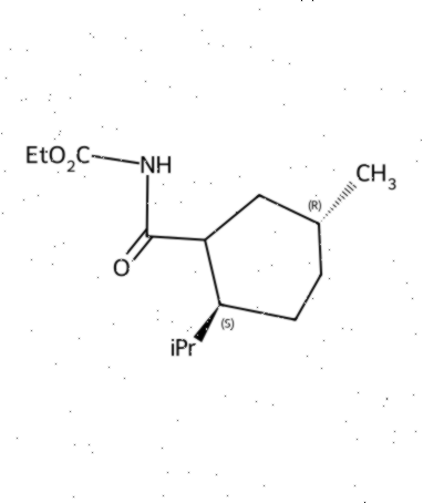 CCOC(=O)NC(=O)C1C[C@H](C)CC[C@H]1C(C)C